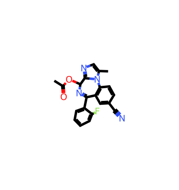 CC(=O)OC1N=C(c2ccccc2F)c2cc(C#N)ccc2-n2c(C)cnc21